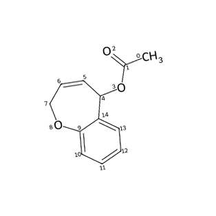 CC(=O)OC1C=CCOc2ccccc21